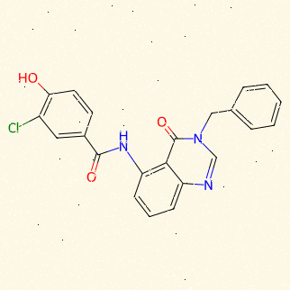 O=C(Nc1cccc2ncn(Cc3ccccc3)c(=O)c12)c1ccc(O)c(Cl)c1